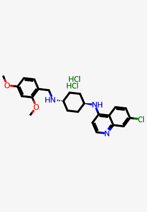 COc1ccc(CN[C@H]2CC[C@H](Nc3ccnc4cc(Cl)ccc34)CC2)c(OC)c1.Cl.Cl